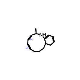 CC1/C=C\C=C/CCCC2CC=CC=C2N1